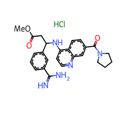 COC(=O)CC(Nc1ccnc2cc(C(=O)N3CCCC3)ccc12)c1cccc(C(=N)N)c1.Cl